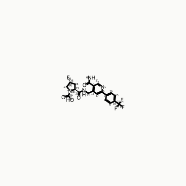 NC(=O)c1cnc(-c2ccc(C(F)(F)F)cc2)cc1CNC(=O)[C@@H]1C[C@@H](F)CN1C(=O)O